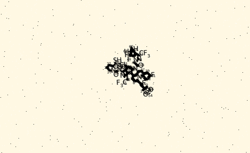 CC(C)(C#Cc1ccc(-c2ccc(Cl)c3c(N(C(=O)N4CCC[C@H]4CS)S(C)(=O)=O)nn(CC(F)(F)F)c23)c(C(Cc2cc(F)cc(F)c2)NC(=O)Cn2nc(C(F)(F)F)c3c2C(F)(F)[C@@H]2C[C@H]32)n1)S(C)(=O)=O